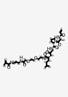 C=CC(=O)N[C@@H](C)C(=O)N1CCC[C@H]1C(=O)NCC(=O)C[C@@H](CCC(C)C)C(=O)NCCOCCOCC(=O)NCCCNC(=O)C(=C)C